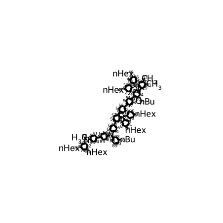 CCCCCCc1ccc([Si]2(c3ccc(CCCCCC)cc3)c3cc(-c4ccc(-c5cc6c(cc5OCCCC)-c5cc(C)c(C)cc5[Si]6(c5ccc(CCCCCC)cc5)c5ccc(CCCCCC)cc5)cc4)ccc3-c3ccc(-c4ccc(N(c5ccc(-c6ccc(N(C)c7cc(CCCCCC)cc(CCCCCC)c7)cc6)cc5)c5cccc(CCCC)c5)cc4)cc32)cc1